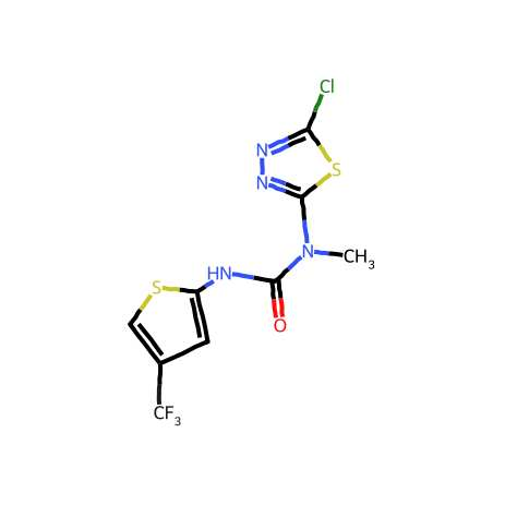 CN(C(=O)Nc1cc(C(F)(F)F)cs1)c1nnc(Cl)s1